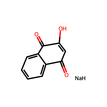 O=C1C=C(O)C(=O)c2ccccc21.[NaH]